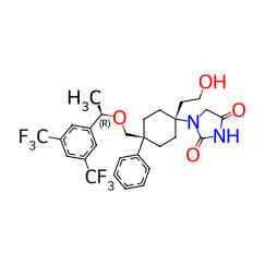 C[C@@H](OC[C@]1(c2ccccc2)CC[C@@](CCO)(N2CC(=O)NC2=O)CC1)c1cc(C(F)(F)F)cc(C(F)(F)F)c1